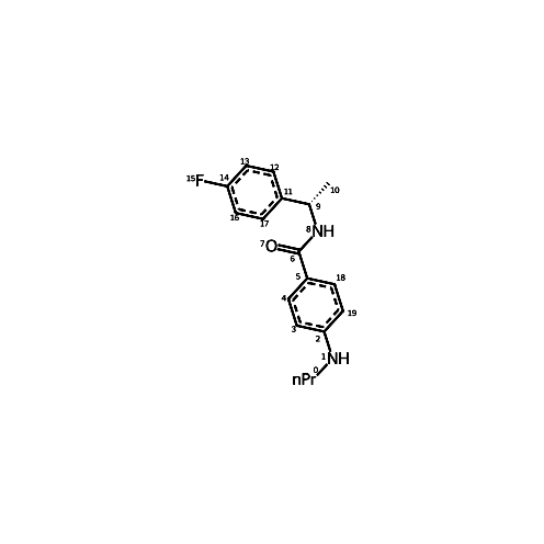 CCCNc1ccc(C(=O)N[C@@H](C)c2ccc(F)cc2)cc1